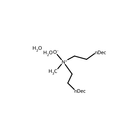 CCCCCCCCCCCC[N+](C)([O-])CCCCCCCCCCCC.O.O